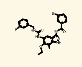 CCOc1c(NC(=O)NCc2cccc(F)c2)cc2c(NC(=O)c3cccc(Br)c3)n[nH]c2c1F